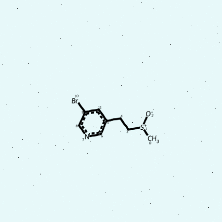 C[S+]([O-])CCc1cncc(Br)c1